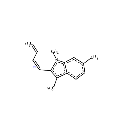 C=C/C=C\c1c(C)c2ccc(C)cc2n1C